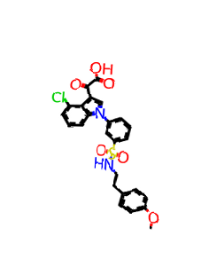 COc1ccc(CCNS(=O)(=O)c2cccc(-n3cc(C(=O)C(=O)O)c4c(Cl)cccc43)c2)cc1